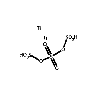 O=S(=O)(O)OS(=O)(=O)OS(=O)(=O)O.[Ti].[Ti]